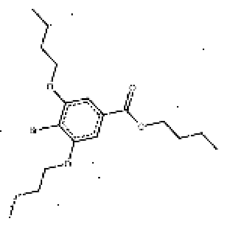 CCCCOC(=O)c1cc(OCCCC)c(Br)c(OCCCC)c1